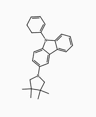 CC1(C)CB(c2ccc3c(c2)c2ccccc2n3C2=CC=CCC2)CC1(C)C